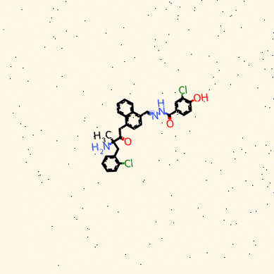 CC(N)(Cc1ccccc1Cl)C(=O)Cc1ccc(/C=N/NC(=O)c2ccc(O)c(Cl)c2)c2ccccc12